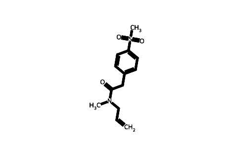 C=CCN(C)C(=O)Cc1ccc(S(C)(=O)=O)cc1